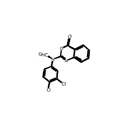 O=CN(c1ccc(Cl)c(Cl)c1)c1nc2ccccc2c(=O)o1